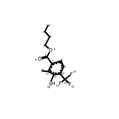 CCCCOC(=O)c1ccc(C(F)(F)F)c(S)c1C